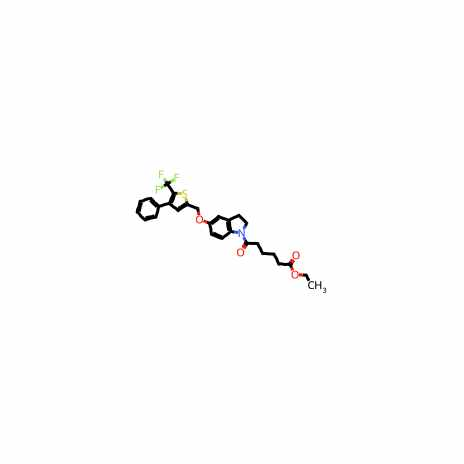 CCOC(=O)CCCCC(=O)N1CCc2cc(OCc3cc(-c4ccccc4)c(C(F)(F)F)s3)ccc21